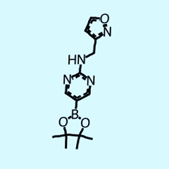 CC1(C)OB(c2cnc(NCc3ccon3)nc2)OC1(C)C